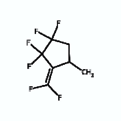 CC1CC(F)(F)C(F)(F)C1=C(F)F